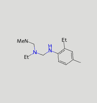 CCc1cc(C)ccc1NCN(CC)CNC